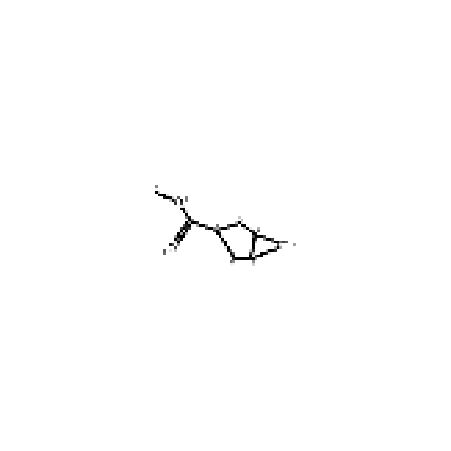 COC(=O)C1CC2OC2C1